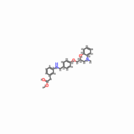 COC(=O)Cc1cccc(NCc2ccc(OC[C@@H]3CN(C)c4ccccc4O3)cc2)c1